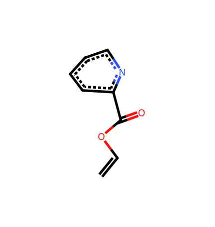 C=COC(=O)c1ccccn1